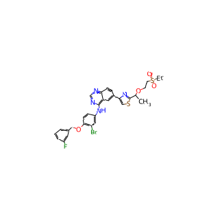 CCS(=O)(=O)CCOC(C)c1nc(-c2ccc3ncnc(Nc4ccc(OCc5cccc(F)c5)c(Br)c4)c3c2)cs1